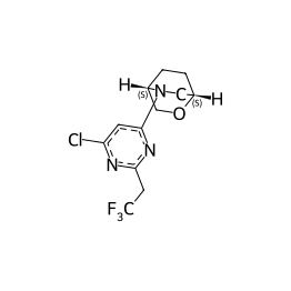 FC(F)(F)Cc1nc(Cl)cc(N2C[C@@H]3CC[C@H]2CO3)n1